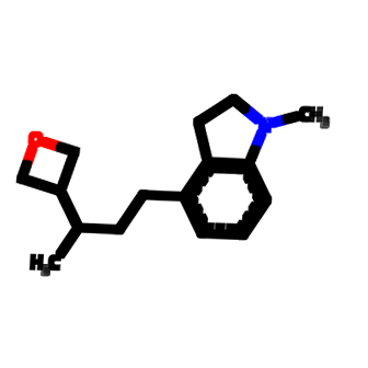 CC(CCc1cccc2c1CCN2C)C1COC1